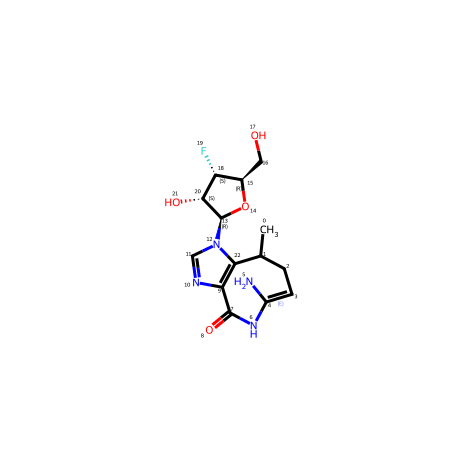 CC1C/C=C(\N)NC(=O)c2ncn([C@@H]3O[C@H](CO)[C@@H](F)[C@H]3O)c21